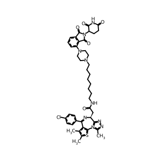 Cc1sc2c(c1C)C(c1ccc(Cl)cc1)=N[C@@H](CC(=O)NCCCCCCCCN1CCN(c3cccc4c3C(=O)N(C3CCC(=O)NC3=O)C4=O)CC1)c1nnc(C)n1-2